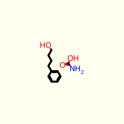 NC(=O)O.OCCCCc1ccccc1